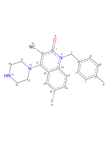 Cc1ccc(Cn2c(=O)c(C#N)c(N3CCNCC3)c3cc(F)ccc32)cc1